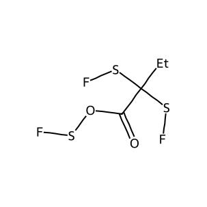 CCC(SF)(SF)C(=O)OSF